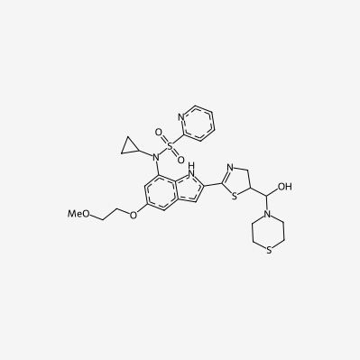 COCCOc1cc(N(C2CC2)S(=O)(=O)c2ccccn2)c2[nH]c(C3=NCC(C(O)N4CCSCC4)S3)cc2c1